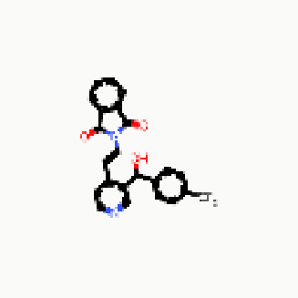 O=C1c2ccccc2C(=O)N1C=Cc1ccncc1C(O)c1ccc(C(F)(F)F)cc1